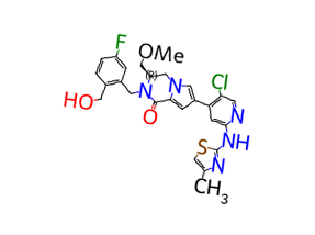 COC[C@H]1Cn2cc(-c3cc(Nc4nc(C)cs4)ncc3Cl)cc2C(=O)N1Cc1cc(F)ccc1CO